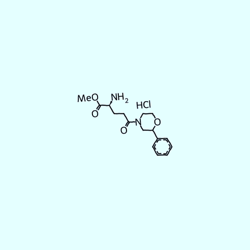 COC(=O)[C@@H](N)CCC(=O)N1CCOC(c2ccccc2)C1.Cl